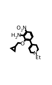 CCN1CC=C(c2ccc([N+](=O)[O-])c(N)c2OCC2CC2)CC1